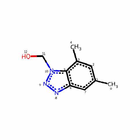 Cc1cc(C)c2c(c1)nnn2CO